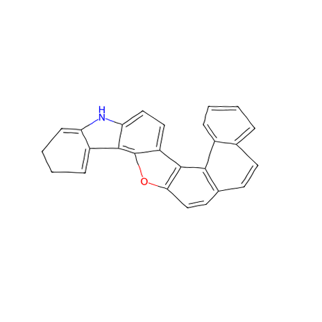 C1=c2[nH]c3ccc4c(oc5ccc6ccc7ccccc7c6c54)c3c2=CCC1